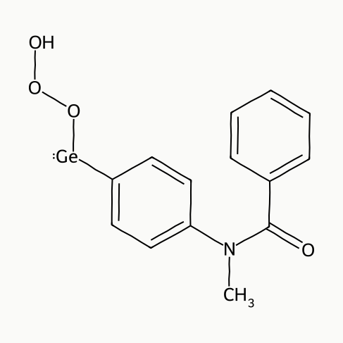 CN(C(=O)c1ccccc1)c1cc[c]([Ge][O]OO)cc1